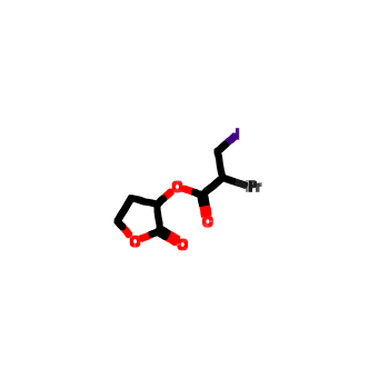 CC(C)C(CI)C(=O)OC1CCOC1=O